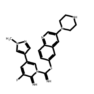 Cn1cc(-c2cc(F)c(=N)n(C(=N)Sc3ccc4ncc(N5CCNCC5)cc4c3)c2)cn1